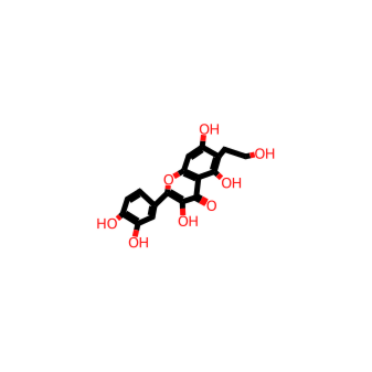 O=c1c(O)c(-c2ccc(O)c(O)c2)oc2cc(O)c(CCO)c(O)c12